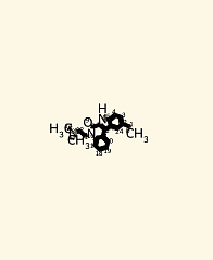 CCc1ccc2[nH]c3c(=O)n(CCN(C)C)c4ccccc4c3c2c1